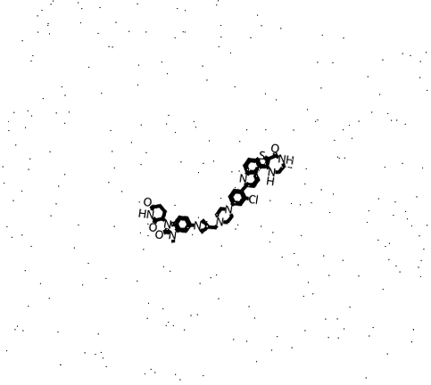 C[C@@H]1CNc2c(sc3ccc4nc(-c5ccc(N6CCN(CC7CN(c8ccc9c(c8)n(C)c(=O)n9C8CCC(=O)NC8=O)C7)CC6)cc5Cl)ccc4c23)C(=O)N1